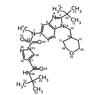 CN(c1ccc2c(c1)nc(C(C)(C)C)n2CC1CCOCC1)S(=O)(=O)n1cc(C(=O)NC(C)(C)C)cn1